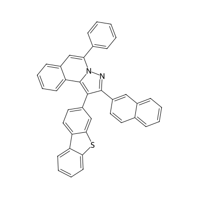 c1ccc(-c2cc3ccccc3c3c(-c4ccc5c(c4)sc4ccccc45)c(-c4ccc5ccccc5c4)nn23)cc1